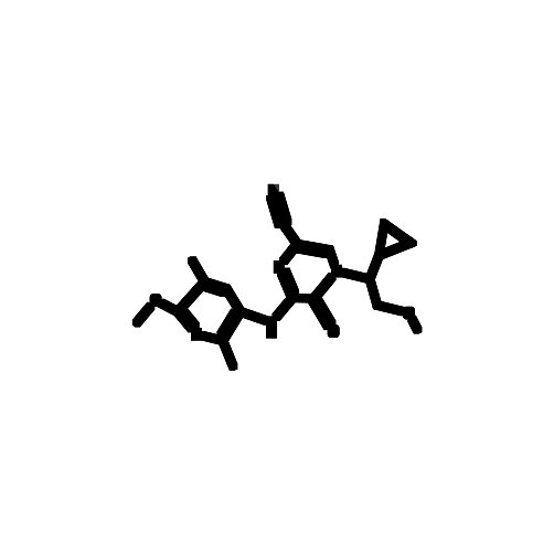 COCC(C1CC1)n1cc(C#N)nc(Nc2cc(C)c(OC)nc2C)c1=O